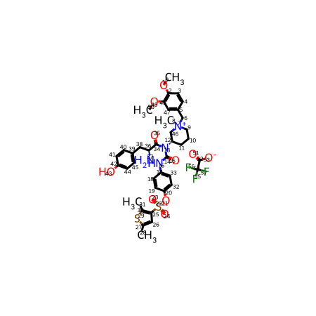 COc1ccc(C[N+]2(C)CCC[C@H](N(C(=O)Nc3ccc(OS(=O)(=O)c4cc(C)sc4C)cc3)C(=O)[C@@H](N)Cc3ccc(O)cc3)C2)cc1OC.O=C([O-])C(F)(F)F